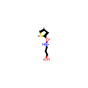 OCCCNOc1cccs1